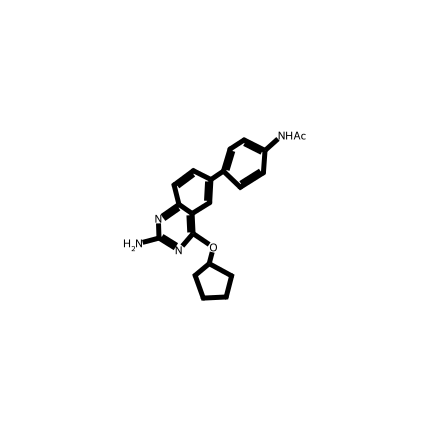 CC(=O)Nc1ccc(-c2ccc3nc(N)nc(OC4CCCC4)c3c2)cc1